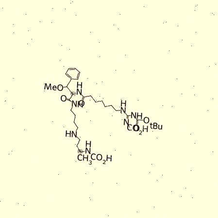 COC(c1ccccc1)[C@H](NC(=O)CCCCCCNC(=NC(=O)O)NC(=O)OC(C)(C)C)C(=O)NCCCCNCC[C@@H](C)NC(=O)O